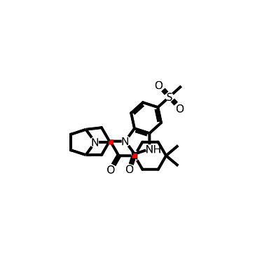 CC1(C)CCN(C(=O)CN2C3CCC2CC(n2c(=O)[nH]c4cc(S(C)(=O)=O)ccc42)C3)CC1